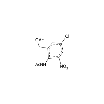 CC(=O)Nc1c(COC(C)=O)cc(Cl)cc1[N+](=O)[O-]